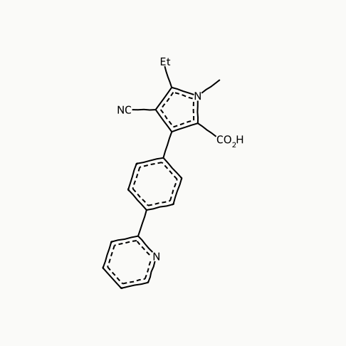 CCc1c(C#N)c(-c2ccc(-c3ccccn3)cc2)c(C(=O)O)n1C